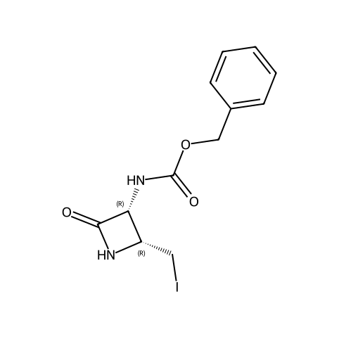 O=C(N[C@H]1C(=O)N[C@H]1CI)OCc1ccccc1